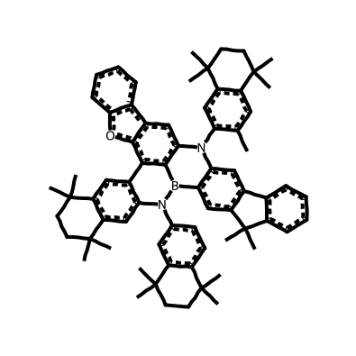 Cc1cc2c(cc1N1c3cc4c(cc3B3c5c1cc1c(oc6ccccc61)c5-c1cc5c(cc1N3c1ccc3c(c1)C(C)(C)CCC3(C)C)C(C)(C)CCC5(C)C)C(C)(C)c1ccccc1-4)C(C)(C)CCC2(C)C